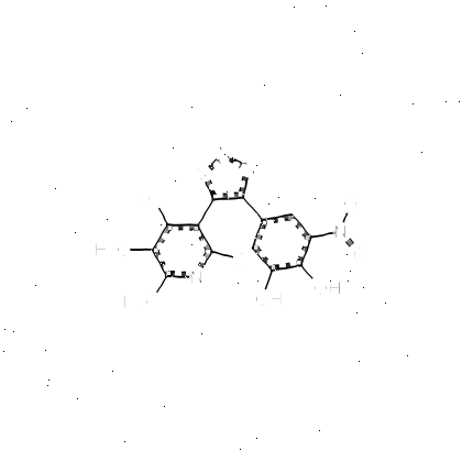 Cc1nc(Cl)c(-c2snnc2-c2cc(O)c(O)c([N+](=O)[O-])c2)c(C)c1C